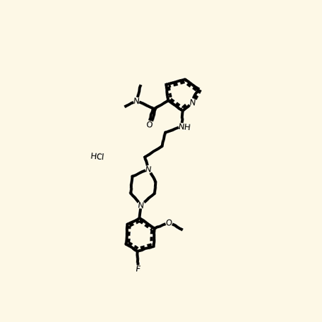 COc1cc(F)ccc1N1CCN(CCCNc2ncccc2C(=O)N(C)C)CC1.Cl